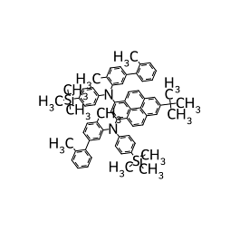 Cc1ccccc1-c1ccc(C)c(N(c2ccc([Si](C)(C)C)cc2)c2cc(N(c3ccc([Si](C)(C)C)cc3)c3cc(-c4ccccc4C)ccc3C)c3ccc4cc(C(C)(C)C)cc5ccc2c3c54)c1